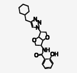 O=C(NC1COC2C1OCC2n1cc(CC2CCCCC2)nn1)c1ccccc1O